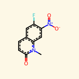 Cn1c(=O)ccc2cc(F)c([N+](=O)[O-])cc21